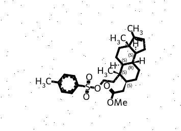 COC(=O)C[C@@H]1CC[C@@H]2[C@H](CC[C@]3(C)C(C)=CC[C@@H]23)[C@@]1(C)CCOS(=O)(=O)c1ccc(C)cc1